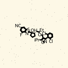 CC[C@H](C[C@@H]1CCC[C@@]1(O)c1nc2c(F)cc(C#N)cc2s1)OCc1c(-c2c(Cl)cccc2Cl)noc1C(C)C